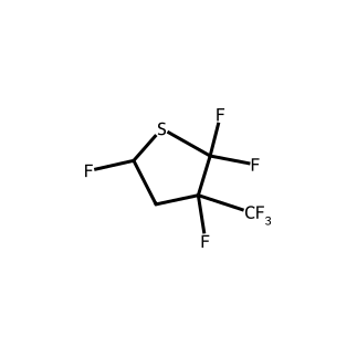 FC1CC(F)(C(F)(F)F)C(F)(F)S1